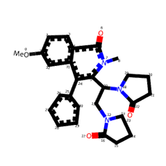 COc1ccc2c(=O)n(C)c(C(CN3CCCC3=O)N3CCCC3=O)c(-c3ccccc3)c2c1